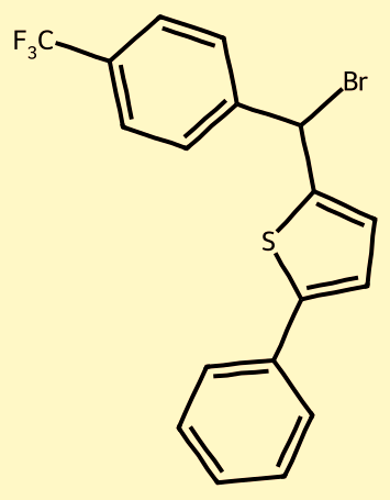 FC(F)(F)c1ccc(C(Br)c2ccc(-c3ccccc3)s2)cc1